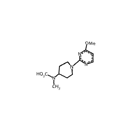 COc1ccnc(N2CCC(N(C)C(=O)O)CC2)n1